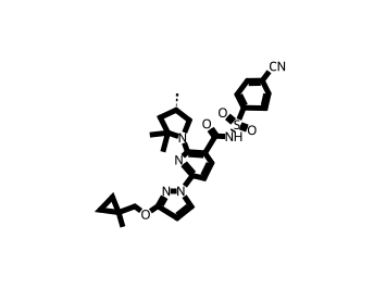 C[C@@H]1CN(c2nc(-n3ccc(OCC4(C)CC4)n3)ccc2C(=O)NS(=O)(=O)c2ccc(C#N)cc2)C(C)(C)C1